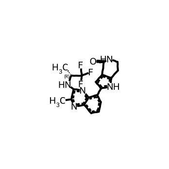 Cc1nc2cccc(-c3cc4c([nH]3)CCNC4=O)c2nc1N[C@H](C)C(F)(F)F